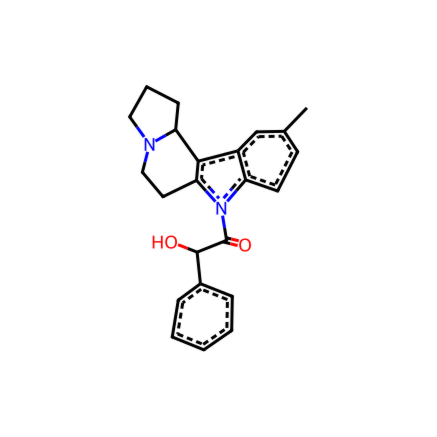 Cc1ccc2c(c1)c1c(n2C(=O)C(O)c2ccccc2)CCN2CCCC12